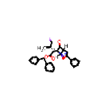 C=C(CI)[C@@H](C(=O)OC(c1ccccc1)c1ccccc1)C12C(=O)[C@@H]3C(=C(c4ccccc4)O[C@@H]31)[N+]2=[N-]